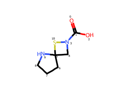 O=C(O)N1CC2(CCCN2)S1